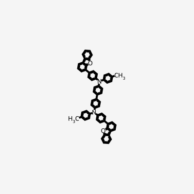 Cc1ccc(N(c2ccc(-c3ccc(N(c4ccc(C)cc4)c4ccc(-c5cccc6c5oc5ccccc56)cc4)cc3)cc2)c2ccc(-c3cccc4c3oc3ccccc34)cc2)cc1